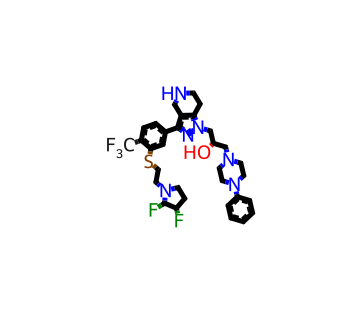 OC(CN1CCN(c2ccccc2)CC1)Cn1nc(-c2ccc(C(F)(F)F)c(SCCN3CCC(F)C3F)c2)c2c1CCNC2